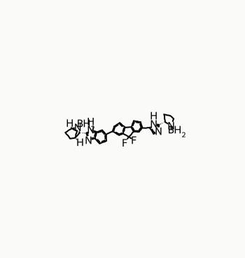 BN1CCC[C@H]1c1ncc(-c2ccc3c(c2)C(F)(F)c2cc(-c4ccc5nc([C@@H]6[C@H]7CC[C@H](C7)N6B)[nH]c5c4)ccc2-3)[nH]1